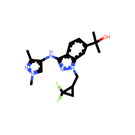 Cc1nn(C)cc1Nc1nn(CC2CC2(F)F)c2cc(C(C)(C)O)ccc12